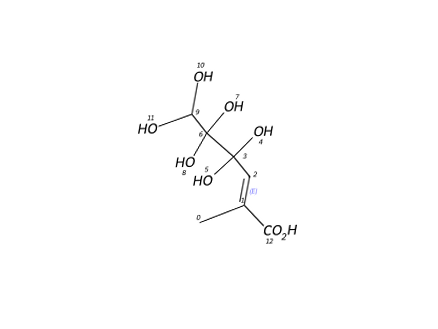 C/C(=C\C(O)(O)C(O)(O)C(O)O)C(=O)O